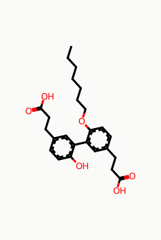 CCCCCCCOc1ccc(CCC(=O)O)cc1-c1cc(CCC(=O)O)ccc1O